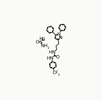 N[SH](=O)=O.O=C(NCCCc1cc(-c2ccccc2)n(-c2ccccc2)n1)Nc1ccc(C(F)(F)F)cc1